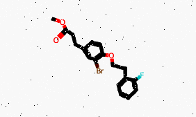 COC(=O)CCc1ccc(OCCc2ccccc2F)c(Br)c1